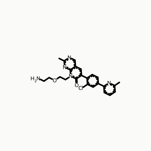 Cc1cccc(-c2ccc(-c3cc4cnc(C)nc4n(CCOCCN)c3=O)c(Cl)c2)n1